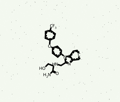 NC(=O)C(CO)NCc1nc2ccccc2n1-c1ccc(Oc2ccc(C(F)(F)F)cc2)cc1